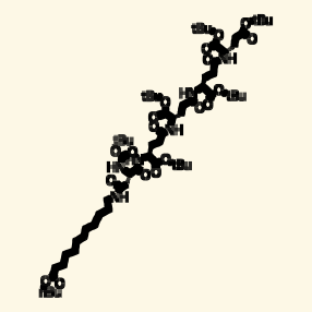 CCCCOC(=O)CCCCCCCCCCCNC(=O)C[C@H](NC(=O)OC(C)(C)C)C(=O)N[C@@H](CCC(=O)N[C@@H](CCC(=O)N[C@@H](CCC(=O)N[C@@H](CCC(=O)OC(C)(C)C)C(=O)OC(C)(C)C)C(=O)OC(C)(C)C)C(=O)OC(C)(C)C)C(=O)OC(C)(C)C